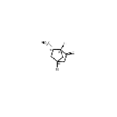 O=C(O)[C@H]1C[C@H]2CC(=O)[C@@H]1C2